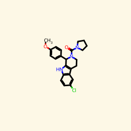 COc1ccc(C2c3[nH]c4ccc(Cl)cc4c3CCN2C(=O)N2CCCC2)cc1